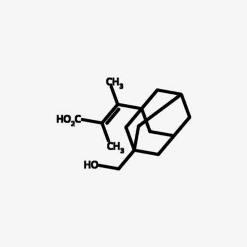 CC(C(=O)O)=C(C)C12CC3CC(CC(CO)(C3)C1)C2